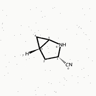 N#C[C@@H]1C[C@@H]2CC2N1